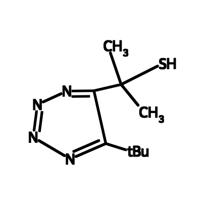 CC(C)(C)c1nnnnc1C(C)(C)S